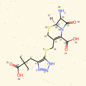 CC(C)(Cc1nn[nH]c1SCC1=C(C(=O)O)N2C(=O)C(N)[C@@H]2SC1)C(=O)O